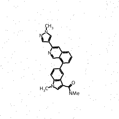 CNC(=O)c1cn(C)c2ccc(-c3cccc4cc(-c5cnn(C)c5)ncc34)cc12